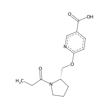 CCC(=O)N1CCC[C@H]1COc1ccc(C(=O)O)cn1